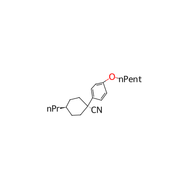 CCCCCOc1ccc([C@]2(C#N)CC[C@H](CCC)CC2)cc1